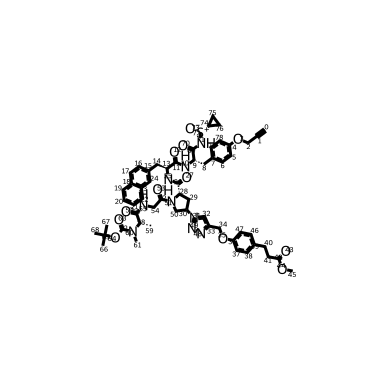 C#CCOc1ccc(C[C@H](NC(=O)[C@H](Cc2ccc3ccccc3c2)NC(=O)[C@@H]2CC(n3cc(COc4ccc(CCC(=O)OC)cc4)nn3)CN2C(=O)CNC(=O)[C@H](C)N(C)C(=O)OC(C)(C)C)C(=O)N[S@+]([O-])C2CC2)cc1